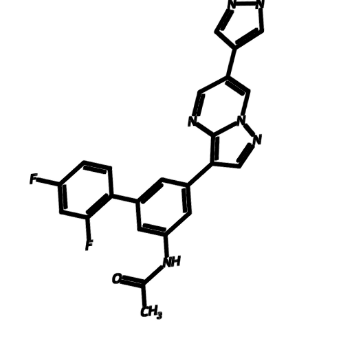 CC(=O)Nc1cc(-c2ccc(F)cc2F)cc(-c2cnn3cc(-c4cnn(C)c4)cnc23)c1